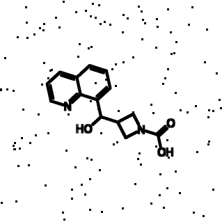 O=C(O)N1CC(C(O)c2cccc3cccnc23)C1